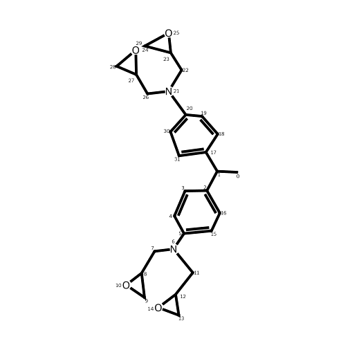 CC(c1ccc(N(CC2CO2)CC2CO2)cc1)c1ccc(N(CC2CO2)CC2CO2)cc1